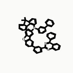 CC1(C)c2ccccc2-c2c(N(c3cccc(-c4ccccc4)c3)c3ccc4oc5ccc(-c6cccc(-c7nc(-c8ccccc8)c8ccccc8n7)c6)cc5c4c3)cccc21